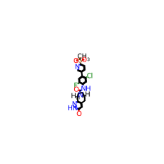 CS(=O)(=O)c1ccc(-c2cc(F)c(NC(=O)N3[C@H]4CC[C@@H]3c3n[nH]c(=O)cc3C4)cc2Cl)cn1